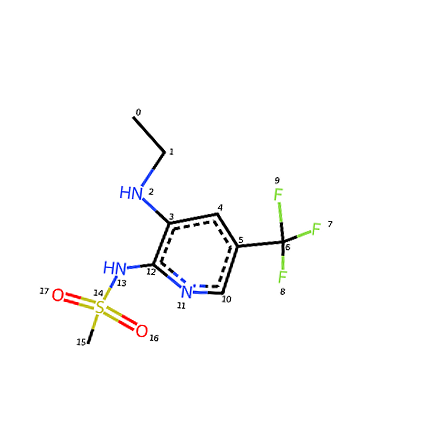 CCNc1cc(C(F)(F)F)cnc1NS(C)(=O)=O